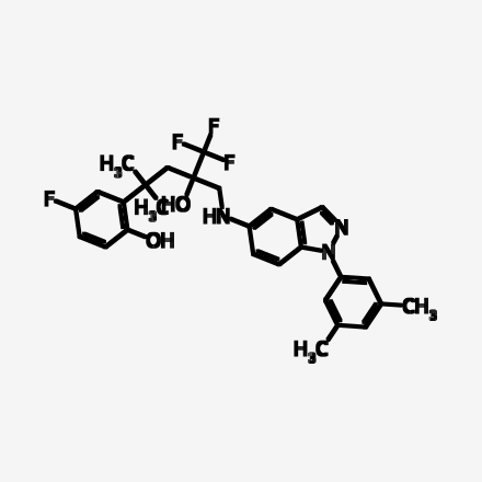 Cc1cc(C)cc(-n2ncc3cc(NCC(O)(CC(C)(C)c4cc(F)ccc4O)C(F)(F)F)ccc32)c1